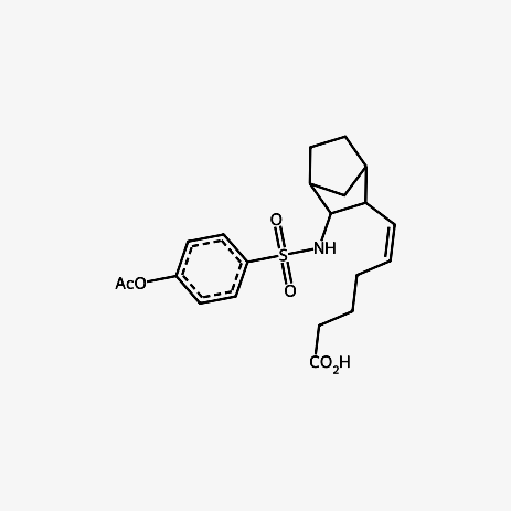 CC(=O)Oc1ccc(S(=O)(=O)NC2C3CCC(C3)C2/C=C\CCCC(=O)O)cc1